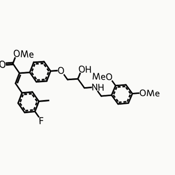 COC(=O)C(=Cc1ccc(F)c(C)c1)c1ccc(OCC(O)CNCc2ccc(OC)cc2OC)cc1